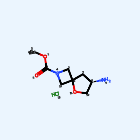 CC(C)(C)OC(=O)N1CC2(C[C@H](N)CO2)C1.Cl